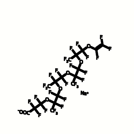 O=C([O-])C(F)(F)C(F)(F)OC(F)(C(F)(F)F)C(F)(F)OC(F)(C(F)(F)F)C(F)(F)OC(F)(C(F)(F)F)C(F)(F)OC(F)(C(F)(F)F)C(F)(F)OC(F)=C(F)F.[Na+]